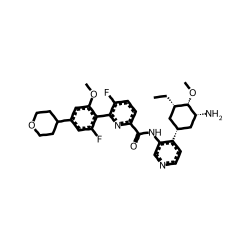 CC[C@H]1C[C@@H](c2ccncc2NC(=O)c2ccc(F)c(-c3c(F)cc(C4CCOCC4)cc3OC)n2)C[C@@H](N)[C@H]1OC